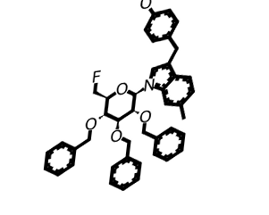 COc1ccc(Cc2cn([C@@H]3O[C@H](CF)[C@@H](OCc4ccccc4)[C@H](OCc4ccccc4)[C@H]3OCc3ccccc3)c3cc(C)ccc23)cc1